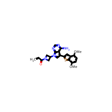 C=CC(=O)N1CC(n2cc(-c3cc4c(OC)ccc(OC)c4s3)c3c(N)ncnc32)C1